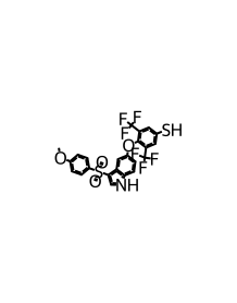 COc1ccc(S(=O)(=O)c2c[nH]c3ccc(Oc4c(C(F)(F)F)cc(S)cc4C(F)(F)F)cc23)cc1